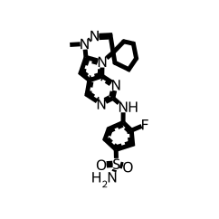 CN1N=CC2(CCCCC2)n2c1cc1cnc(Nc3ccc(S(N)(=O)=O)cc3F)nc12